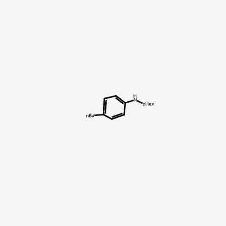 [CH2]CCCCCNc1ccc(CCCC)cc1